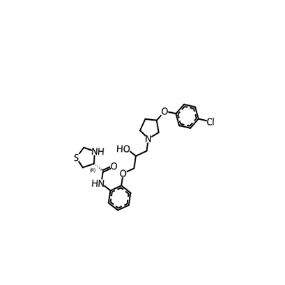 O=C(Nc1ccccc1OCC(O)CN1CCC(Oc2ccc(Cl)cc2)C1)[C@@H]1CSCN1